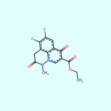 CCOC(=O)c1cn2c3c(c(F)c(F)cc3c1=O)CC(=O)N2C